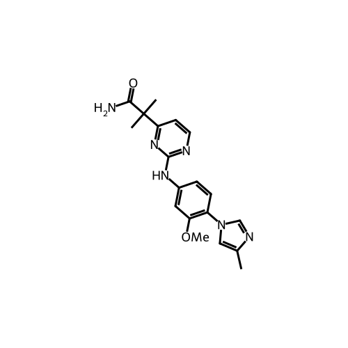 COc1cc(Nc2nccc(C(C)(C)C(N)=O)n2)ccc1-n1cnc(C)c1